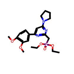 CCOP(=O)(Cc1nc(-c2ccc(OC)c(OC)c2)cc(N2CCCC2)n1)OCC